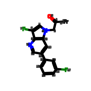 CC(C)C(=O)Cn1cc(F)c2ncc(-c3cccc(F)c3)cc21